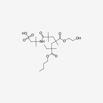 CCCCOC(=O)C(C)(CC)CC(C)(CC(C)(C)C(=O)NC(C)(C)CS(=O)(=O)O)C(=O)OCCO